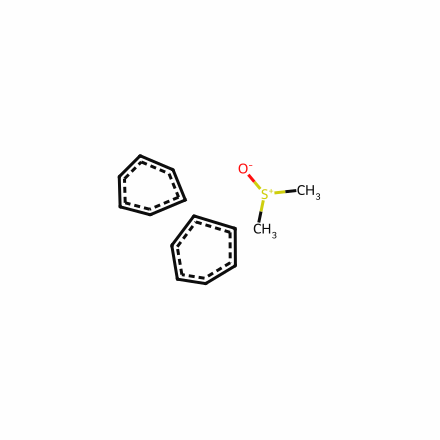 C[S+](C)[O-].c1ccccc1.c1ccccc1